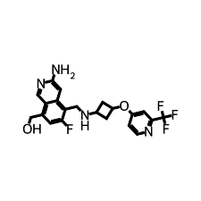 Nc1cc2c(CNC3CC(Oc4ccnc(C(F)(F)F)c4)C3)c(F)cc(CO)c2cn1